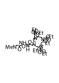 CCOP(=O)(CN1CCN(CC(=O)NCOC(N)C(=O)CNC)CCN(CP(=O)(OCC)OCC)CCN(CP(=O)(OCC)OCC)CC1)OCC